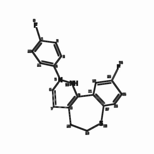 Fc1ccc(N2C=CC3=C(N2)c2cc(F)ccc2SCC3)cc1